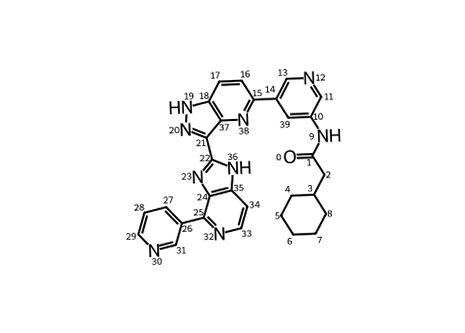 O=C(CC1CCCCC1)Nc1cncc(-c2ccc3[nH]nc(-c4nc5c(-c6cccnc6)nccc5[nH]4)c3n2)c1